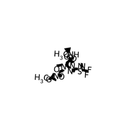 COC1CN(C(=O)[C@@H]2CN(c3cc(S(=O)(=O)NC4(C)CC4)cn4c(-c5nnc(C(F)F)s5)cnc34)CCO2)C1